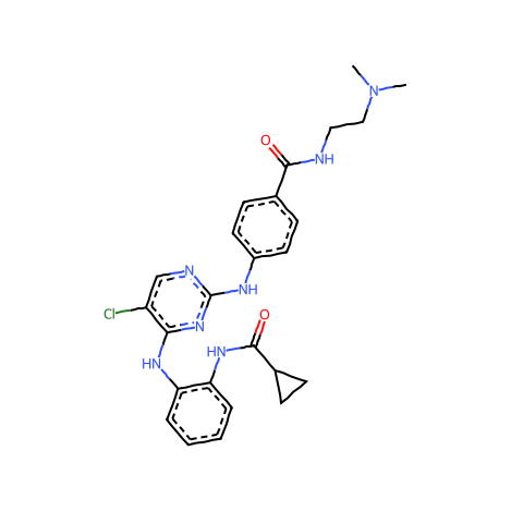 CN(C)CCNC(=O)c1ccc(Nc2ncc(Cl)c(Nc3ccccc3NC(=O)C3CC3)n2)cc1